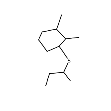 CCC(C)SC1CCCC(C)C1C